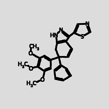 COc1cc(C2(c3ccccc3)C=Cc3c(-c4cncs4)n[nH]c3C2)cc(OC)c1OC